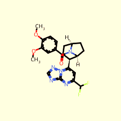 COc1ccc(C(=O)N2[C@H]3CC[C@H](c4cc(C(F)F)nc5ncnn45)[C@@H]2CC3)cc1OC